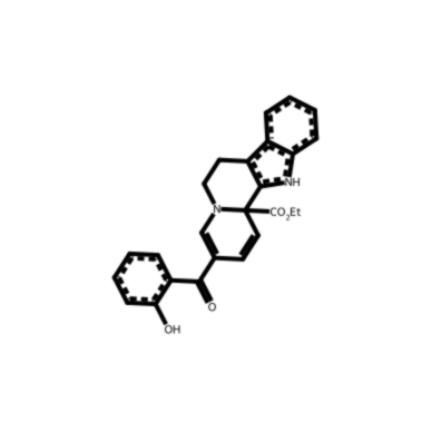 CCOC(=O)C12C=CC(C(=O)c3ccccc3O)=CN1CCc1c2[nH]c2ccccc12